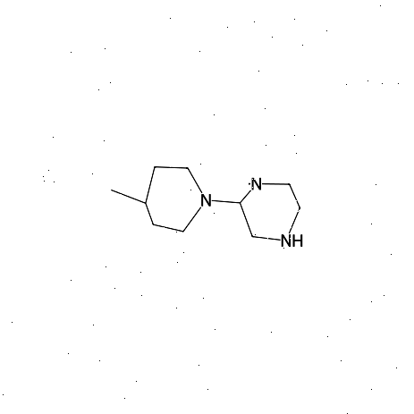 CC1CCN(C2CNCC[N]2)CC1